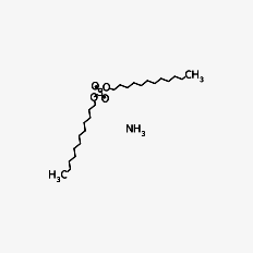 CCCCCCCCCCCCOS(=O)(=O)OCCCCCCCCCCCC.N